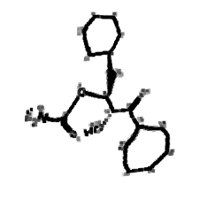 NC(=O)O[C@@H](CC1CCCCC1)[C@@H](O)C(=O)C1CCCCC1